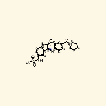 CCS(=O)(=O)Nc1ccc2c(c1)/C(=N/c1ccc(CN3CCCCC3)cc1)C(=O)N2